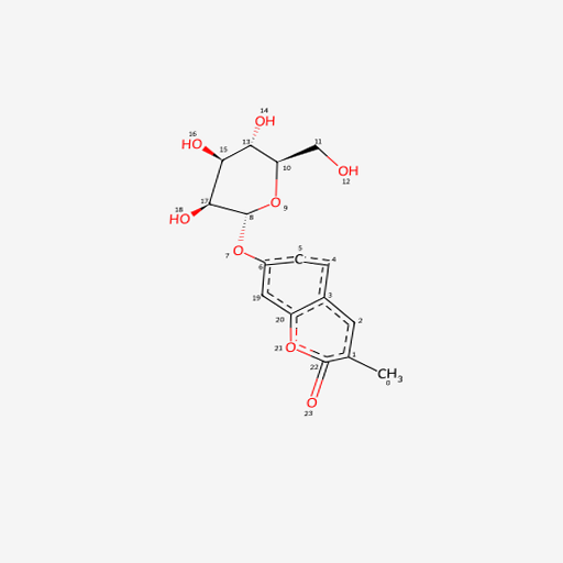 Cc1cc2ccc(O[C@H]3O[C@H](CO)[C@@H](O)[C@H](O)[C@@H]3O)cc2oc1=O